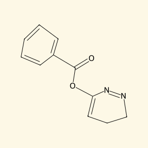 O=C(OC1=CCCN=N1)c1ccccc1